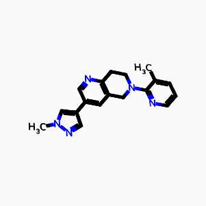 Cc1cccnc1N1CCc2ncc(-c3cnn(C)c3)cc2C1